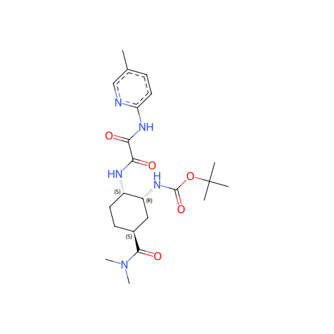 Cc1ccc(NC(=O)C(=O)N[C@H]2CC[C@H](C(=O)N(C)C)C[C@H]2NC(=O)OC(C)(C)C)nc1